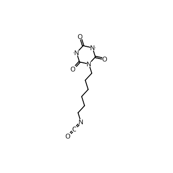 O=C=NCCCCCCN1C(=O)[N]C(=O)[N]C1=O